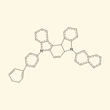 C1=CC(c2ccc(-n3c4c(c5ccccc53)C3c5ccccc5N(c5ccc6ccccc6c5)C3C=C4)cc2)=CCC1